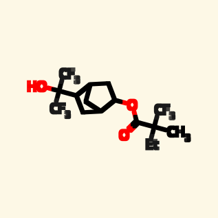 CCC(C)(C(=O)OC1CC2CC1CC2C(O)(C(F)(F)F)C(F)(F)F)C(F)(F)F